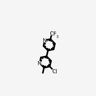 Cc1ncc(-c2ccc(C(F)(F)F)nc2)cc1Cl